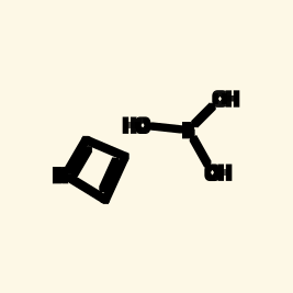 C1=[CH][Bi]=[CH]1.OB(O)O